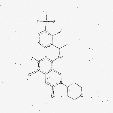 CC(Nc1nn(C)c(=O)c2cc(=O)n(C3CCOCC3)cc12)c1cccc(C(C)(F)F)c1F